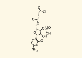 Nc1ccn([C@@H]2O[C@H](COC(=O)CCC(=O)Cl)[C@@H](O[PH](=O)O)[C@H]2O)c(=O)n1